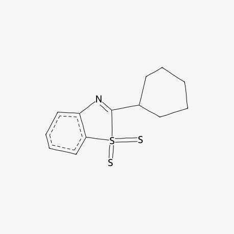 S=S1(=S)C(C2CCCCC2)=Nc2ccccc21